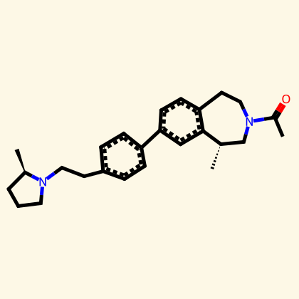 CC(=O)N1CCc2ccc(-c3ccc(CCN4CCC[C@H]4C)cc3)cc2[C@@H](C)C1